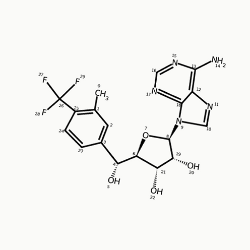 Cc1cc([C@@H](O)[C@H]2O[C@@H](n3cnc4c(N)ncnc43)[C@H](O)[C@@H]2O)ccc1C(F)(F)F